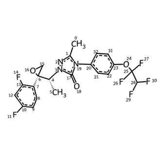 Cc1nn([C@H](C)[C@]2(c3ccc(F)cc3F)CO2)c(=O)n1-c1ccc(OC(F)(F)C(F)F)cc1